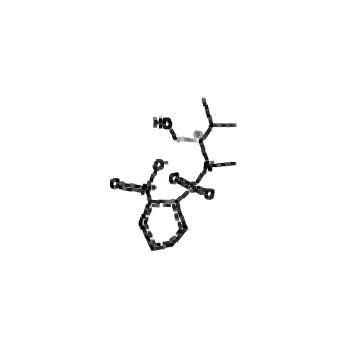 CC(C)[C@@H](CO)N(C)S(=O)(=O)c1ccccc1[N+](=O)[O-]